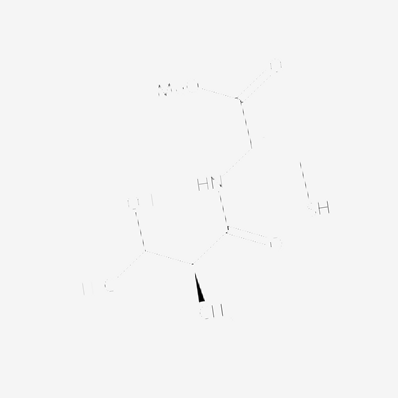 COC(=O)[C@H](CS)NC(=O)[C@@H](C)C(C)O